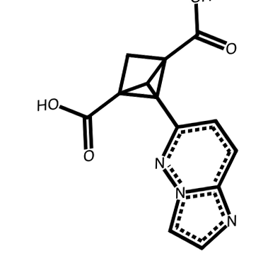 O=C(O)C12CC(C(=O)O)(C1)C2c1ccc2nccn2n1